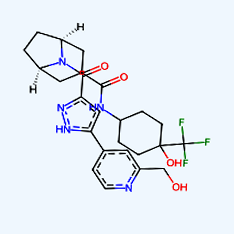 O=C(NC1CCC(O)(C(F)(F)F)CC1)C1C[C@H]2CC[C@@H](C1)N2C(=O)c1cc(-c2ccnc(CO)c2)[nH]n1